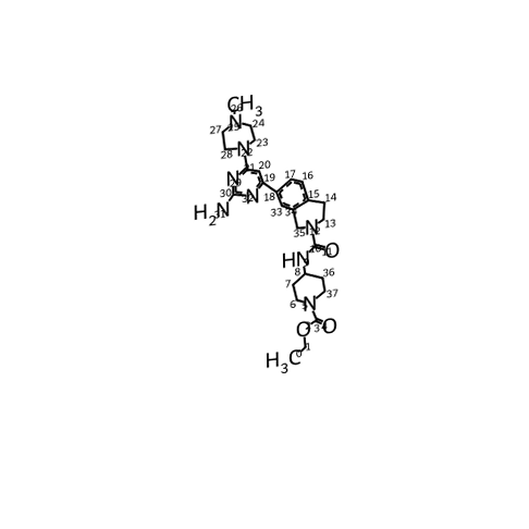 CCOC(=O)N1CCC(NC(=O)N2CCc3ccc(-c4cc(N5CCN(C)CC5)nc(N)n4)cc3C2)CC1